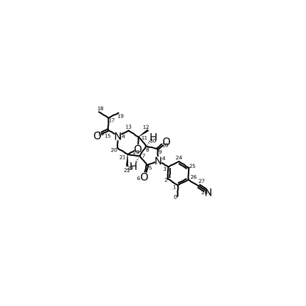 Cc1cc(N2C(=O)[C@@H]3[C@H](C2=O)[C@@]2(C)CN(C(=O)C(C)C)C[C@]3(C)O2)ccc1C#N